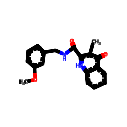 COc1cccc(CNC(=O)c2[nH]c3ccccc3c(=O)c2C)c1